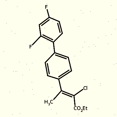 CCOC(=O)C(Cl)=C(C)c1ccc(-c2ccc(F)cc2F)cc1